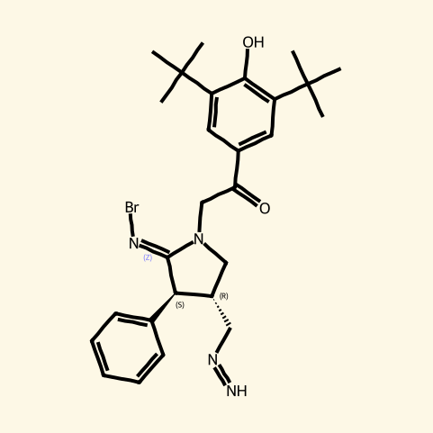 CC(C)(C)c1cc(C(=O)CN2C[C@H](CN=N)[C@@H](c3ccccc3)/C2=N/Br)cc(C(C)(C)C)c1O